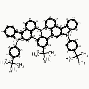 CC(C)(C)c1ccc(-n2c3ccccc3c3c4cccc5c4c(cc32)-c2cc(C(C)(C)C)cc3c2B5c2cccc4c2c-3cc2c4c3ccccc3n2-c2ccc(C(C)(C)C)cc2)cc1